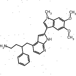 COc1cc2c(-c3cc4c(CC(CCN)c5ccccc5)ccnc4[nH]3)cn(C)c2cc1OC